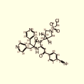 N#Cc1ccc(C(=O)/C=C2\NC(Cc3ccncc3)(Cc3ccncc3)C(=O)N2[C@H]2[C@@H]3CN(S(=O)(=O)CCl)C[C@@H]32)cc1